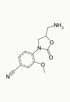 COc1cc(C#N)ccc1N1CC(CN)OC1=O